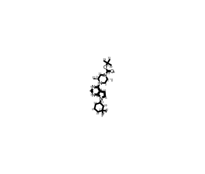 C[C@@H]1CN(c2ncnc3c2ccn3C2CCCC(F)(F)C2)[C@@H](C)CN1C(=O)OC(C)(C)C